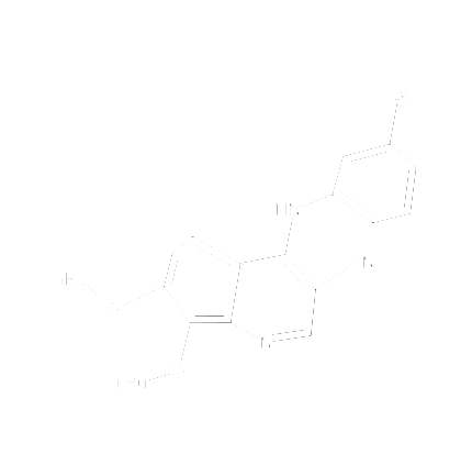 CCCCOc1ccc2c(Nc3cccc(Br)c3)c(C#N)cnc2c1OCCCC